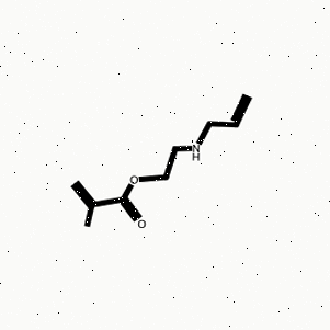 C=CCNCCOC(=O)C(=C)C